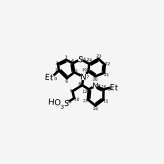 CCc1ccc2c(c1)N(C(CCS(=O)(=O)O)c1cccc(CC)n1)c1ccccc1S2